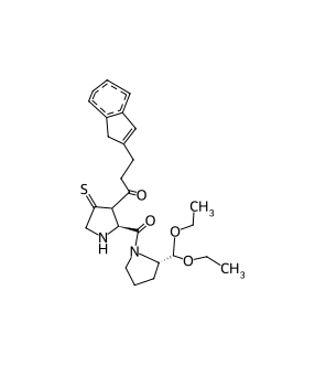 CCOC(OCC)[C@@H]1CCCN1C(=O)[C@H]1NCC(=S)C1C(=O)CCC1=Cc2ccccc2C1